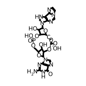 Nc1nc2c(ncn2C2OC3COP(=O)(O)OC4C(COP(=O)(O)OC2C3O)OC(N2CNc3c2ncn2ccnc32)C4O)c(=O)[nH]1